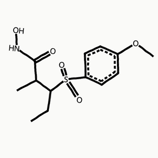 CCC(C(C)C(=O)NO)S(=O)(=O)c1ccc(OC)cc1